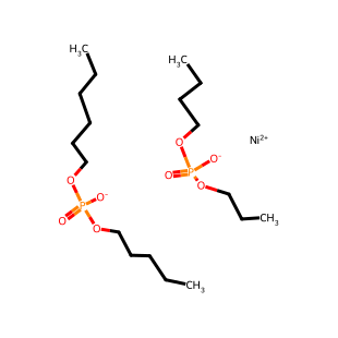 CCCCCCOP(=O)([O-])OCCCCC.CCCCOP(=O)([O-])OCCC.[Ni+2]